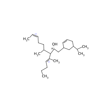 C/C=C\CCC(C)C(/C(C)=C/CCC)[C@H](O)CC1C=CCC(C(C)C)C1